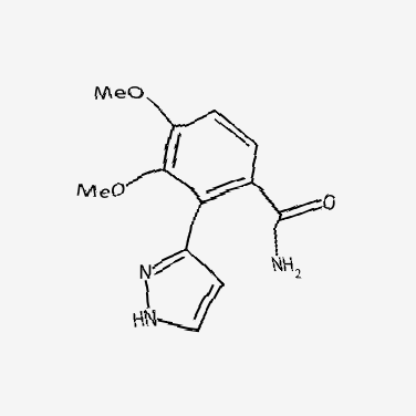 COc1ccc(C(N)=O)c(-c2cc[nH]n2)c1OC